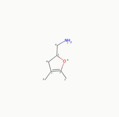 CC1=C(C)OC(CN)C1